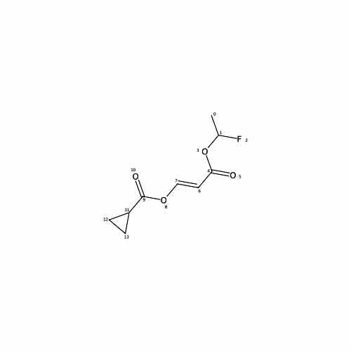 CC(F)OC(=O)C=COC(=O)C1CC1